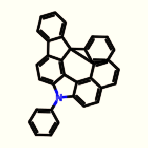 c1ccc(-n2c3ccc4c5c3c3c6c(cccc6ccc32)C5(c2ccccc2)c2ccccc2-4)cc1